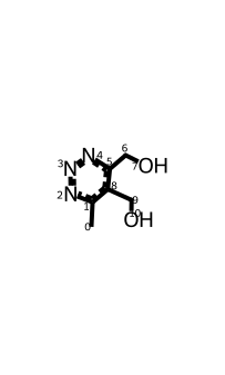 Cc1nnnc(CO)c1CO